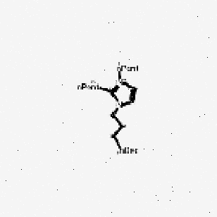 CCCCCCCCCCCCCn1cc[n+](CCCCC)c1CCCCC